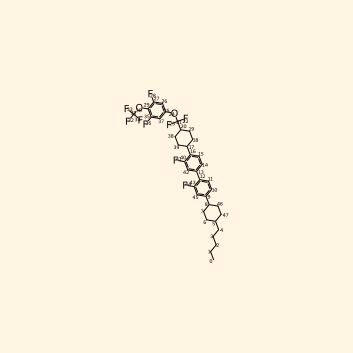 CCCCCC1CCC(c2ccc(-c3ccc(C4CCC(C(F)(F)Oc5cc(F)c(OC(F)(F)F)c(F)c5)CC4)c(F)c3)c(F)c2)CC1